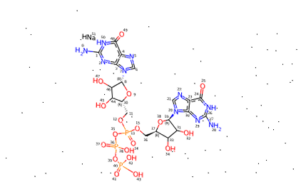 Nc1nc2c(ncn2[C@@H]2O[C@H](COP(=O)(OC[C@H]3O[C@@H](n4cnc5c(=O)[nH]c(N)nc54)C(O)C3O)OP(=O)(O)OP(=O)(O)O)C(O)C2O)c(=O)[nH]1.[NaH]